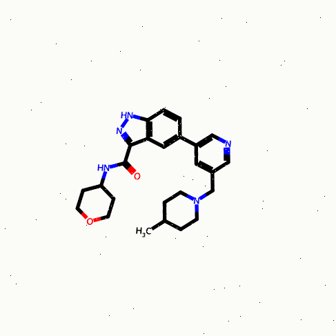 CC1CCN(Cc2cncc(-c3ccc4[nH]nc(C(=O)NC5CCOCC5)c4c3)c2)CC1